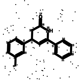 Cc1cccc(C2C=C(c3ccccc3)NC(=O)C2)c1